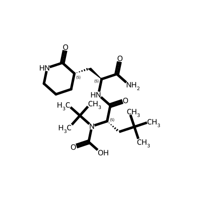 CC(C)(C)C[C@@H](C(=O)N[C@@H](C[C@@H]1CCCNC1=O)C(N)=O)N(C(=O)O)C(C)(C)C